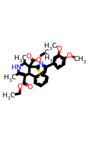 CCOC(=O)C1=C(C)NC(C)C(C(=O)OCC)(c2nc(-c3ccc(OC)c(OC)c3)cs2)C1c1ccccc1